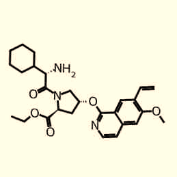 C=Cc1cc2c(O[C@@H]3C[C@@H](C(=O)OCC)N(C(=O)[C@@H](N)C4CCCCC4)C3)nccc2cc1OC